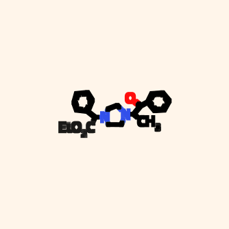 CCOC(=O)C(c1ccccc1)N1CCN(C(C)C(=O)c2ccccc2)CC1